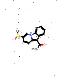 COC(=O)c1c2ccccc2n2cc([S+](C)[O-])ccc12